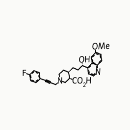 COc1ccc2nccc([C@@H](O)CC[C@@H]3CCN(CC#Cc4ccc(F)cc4)C[C@@H]3C(=O)O)c2c1